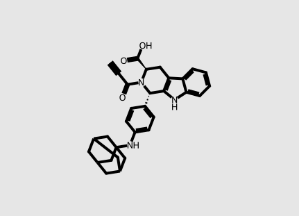 C#CC(=O)N1[C@@H](c2ccc(NC34CC5CC(CC(C5)C3)C4)cc2)c2[nH]c3ccccc3c2C[C@@H]1C(=O)O